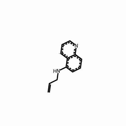 C=CCNc1cccc2ncc[c]c12